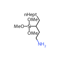 CCCCCCCCC(CCN)[Si](OC)(OC)OC